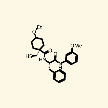 CCO[C@H]1CC[C@@](CS)(C(=O)N[C@@H](Cc2ccccc2)C(=O)Nc2cccc(OC)c2)CC1